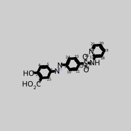 O=C(O)C1=C(O)C=CC(/N=N/c2ccc(S(=O)(=O)Nc3ccccn3)cc2)C1